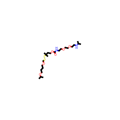 CC(C)NCCOCCOCCNC(=O)OCCC(C)(C)SSCOCCCCOC(C)C